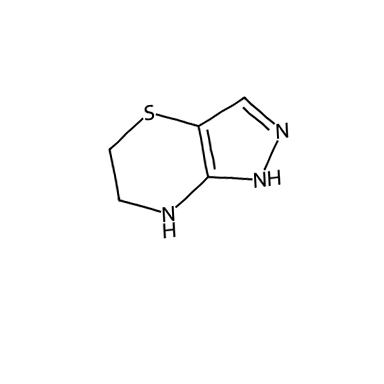 c1n[nH]c2c1SCCN2